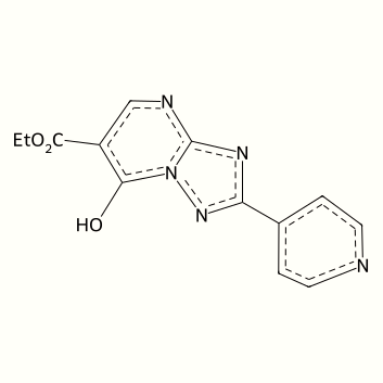 CCOC(=O)c1cnc2nc(-c3ccncc3)nn2c1O